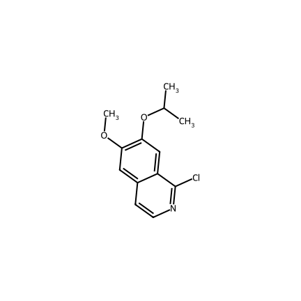 COc1cc2ccnc(Cl)c2cc1OC(C)C